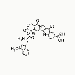 CCc1c2c(nc3ccc(B(O)O)cc13)-c1cc3c(c(=O)n1C2)COC(=O)[C@]3(CC)OC(=O)[C@H](N)Cc1cn(C)c2ccccc12